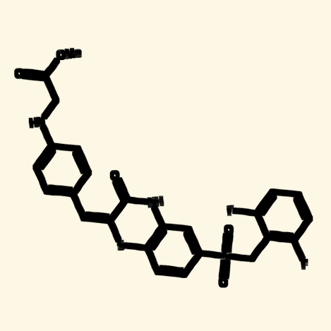 COC(=O)CNc1ccc(C=C2Sc3ccc(S(=O)(=O)Cc4c(F)cccc4F)cc3NC2=O)cc1